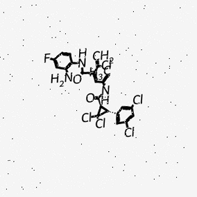 C=C(Cl)/C(=C\C(=C/C)NC(=O)[C@H]1[C@H](c2cc(Cl)cc(Cl)c2)C1(Cl)Cl)C(=O)Nc1ccc(F)cc1N